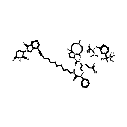 CN1CC[C@H]2CC[C@@H](C(=O)N[C@@H](CCC(N)=O)CN[C@H](C(=O)NCCCCCCCCCC#Cc3cccc4c3CN(C3CCC(=O)NC3=O)C4=O)c3ccccc3)N2C(=O)[C@@H](NC(=O)[C@H](Cc2cccc(C(F)(F)P(=O)(O)O)c2)N(C)C)C1